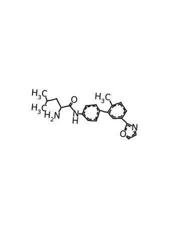 Cc1ccc(-c2ncco2)cc1-c1ccc(NC(=O)C(N)CC(C)C)cc1